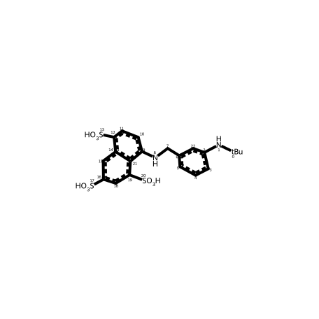 CC(C)(C)Nc1cccc(CNc2ccc(S(=O)(=O)O)c3cc(S(=O)(=O)O)cc(S(=O)(=O)O)c23)c1